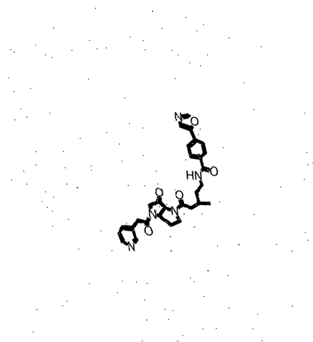 CC(CCNC(=O)c1ccc(-c2cnco2)cc1)CC(=O)N1CCC2C1C(=O)CN2C(=O)Cc1cccnc1